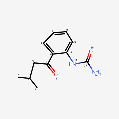 CC(C)CC(=O)c1ccccc1NC(N)=O